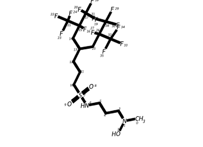 CN(O)CCCNS(=O)(=O)CCCC(CC(F)(C(F)(F)F)C(F)(F)F)CC(F)(C(F)(F)F)C(F)(F)F